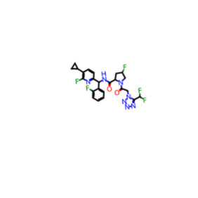 O=C(NC(c1ccc(C2CC2)c(F)n1)c1ccccc1F)C1CC(F)CN1C(=O)Cn1nnnc1C(F)F